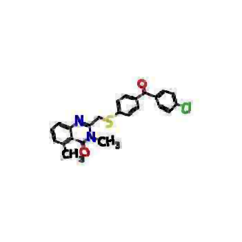 Cc1cccc2nc(CSc3ccc(C(=O)c4ccc(Cl)cc4)cc3)n(C)c(=O)c12